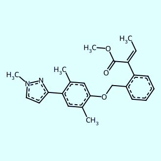 CC=C(C(=O)OC)c1ccccc1COc1cc(C)c(-c2ccn(C)n2)cc1C